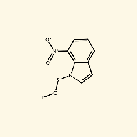 O=[N+]([O-])c1cccc2ccn(SOI)c12